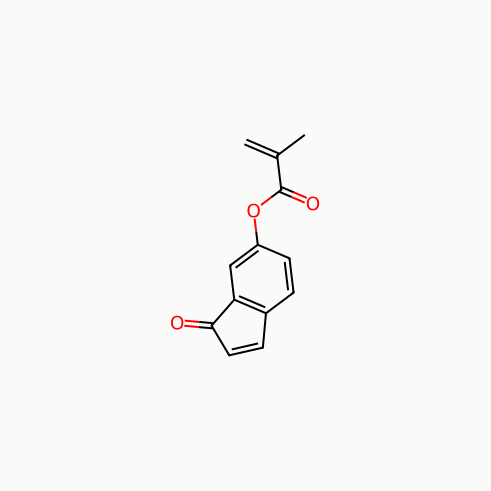 C=C(C)C(=O)Oc1ccc2c(c1)C(=O)C=C2